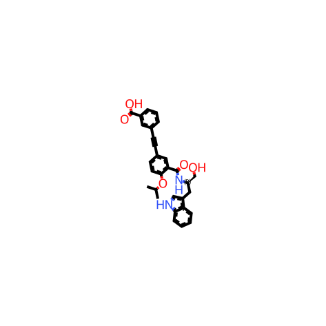 CC(C)Oc1ccc(C#Cc2cccc(C(=O)O)c2)cc1C(=O)N[C@@H](CO)Cc1c[nH]c2ccccc12